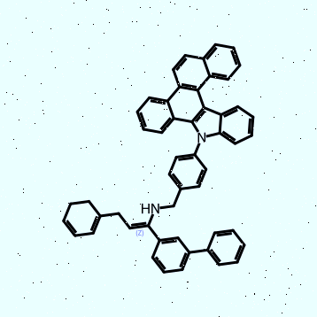 C1=CCCC(C/C=C(\NCc2ccc(-n3c4ccccc4c4c5c6ccccc6ccc5c5ccccc5c43)cc2)c2cccc(-c3ccccc3)c2)=C1